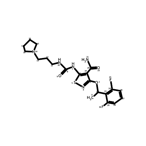 CC(Oc1nsc(NC(=O)NCCCN2CCCC2)c1C(N)=O)c1c(F)cccc1F